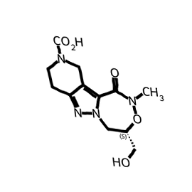 CN1O[C@H](CO)Cn2nc3c(c2C1=O)CN(C(=O)O)CC3